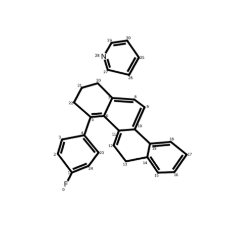 Fc1ccc(C2=c3c(ccc4c3=CCc3ccccc3-4)CCC2)cc1.c1ccncc1